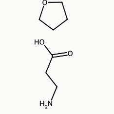 C1CCOC1.NCCC(=O)O